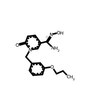 CCCOc1cccc(Cn2cc(/C(N)=N/O)ccc2=O)c1